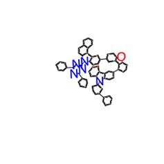 c1ccc(-c2cccc(-n3c4ccccc4c4cc(-c5cccc6oc7ccc(-c8ccc9c(c8)c8c%10ccccc%10ccc8n9-c8nc(-c9ccccc9)nc(-c9ccccc9)n8)cc7c56)ccc43)c2)cc1